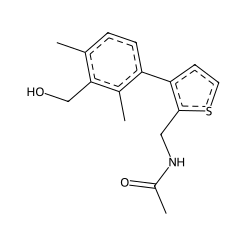 CC(=O)NCc1sccc1-c1ccc(C)c(CO)c1C